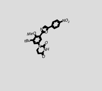 COc1c(-c2ncc(-c3ccc([N+](=O)[O-])cc3)o2)cc(N2CCC(=O)NC2=O)cc1C(C)(C)C